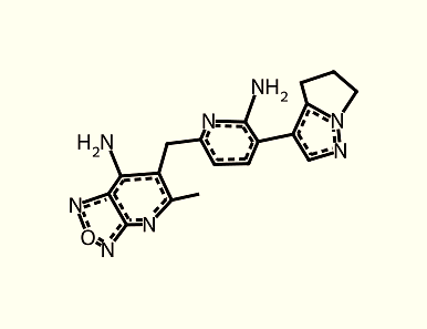 Cc1nc2nonc2c(N)c1Cc1ccc(-c2cnn3c2CCC3)c(N)n1